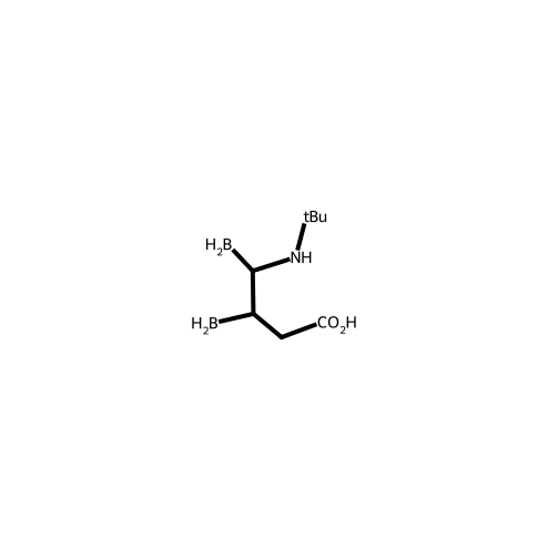 BC(CC(=O)O)C(B)NC(C)(C)C